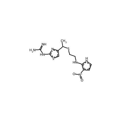 CC(SCCNc1[nH]ccc1[N+](=O)[O-])c1csc(NC(=N)N)n1